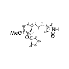 COc1ccc(CCC[C@@H]2CNC(=O)C2)cc1OC1CCCC1